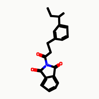 CCC(C)c1cccc(CCC(=O)N2C(=O)c3ccccc3C2=O)c1